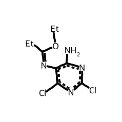 CCOC(CC)=Nc1c(N)nc(Cl)nc1Cl